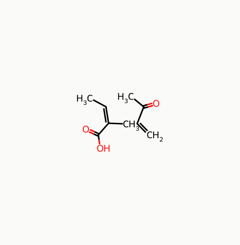 C=CC(C)=O.CC=C(C)C(=O)O